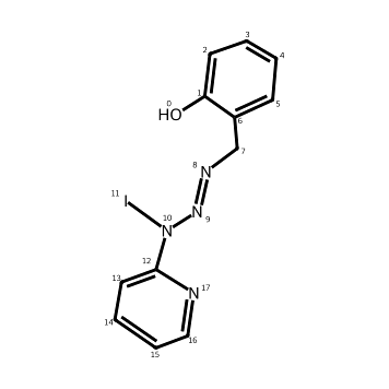 Oc1ccccc1CN=NN(I)c1ccccn1